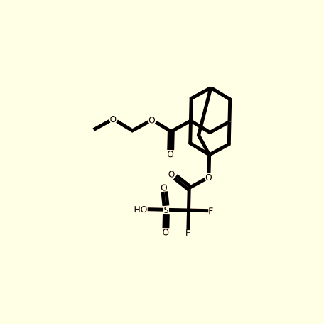 COCOC(=O)C12CC3CC(CC(OC(=O)C(F)(F)S(=O)(=O)O)(C3)C1)C2